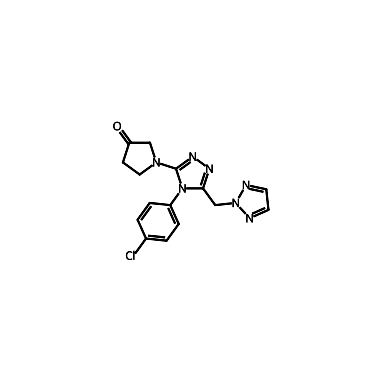 O=C1CCN(c2nnc(Cn3nccn3)n2-c2ccc(Cl)cc2)C1